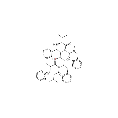 CC(C)[C@H](N)C(=O)N(C(=O)N(C)Cc1ccccn1)[C@@H](Cc1ccccc1)[C@H](O)[C@H](O)[C@H](Cc1ccccc1)N(C(=O)[C@@H](N)C(C)C)C(=O)N(C)Cc1ccccn1